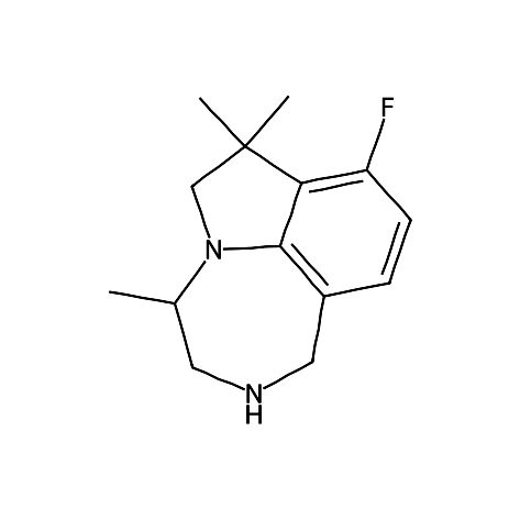 CC1CNCc2ccc(F)c3c2N1CC3(C)C